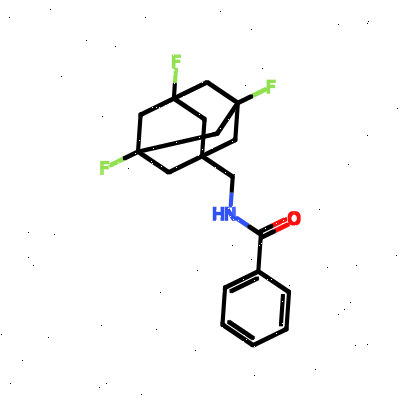 O=C(NCC12CC3(F)CC(F)(CC(F)(C3)C1)C2)c1ccccc1